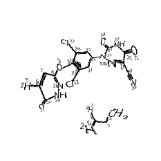 [2H]C([2H])CC.[2H]c1cc(Oc2c(Cl)cc(-n3nc(C#N)c(=O)[nH]c3=O)cc2Cl)n[nH]c1=O